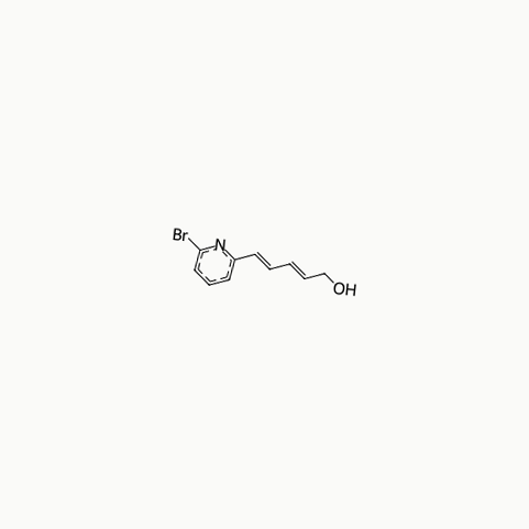 OCC=CC=Cc1cccc(Br)n1